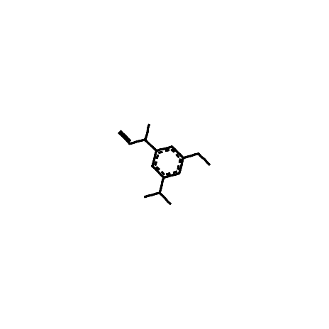 C=C[C](C)c1cc(CC)cc(C(C)C)c1